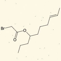 CC=CCCCC(CCC)OC(=O)CBr